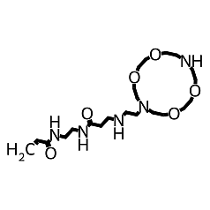 C=CC(=O)NCCNC(=O)CCNCCN1CCOCCOCCNCCOCCOCC1